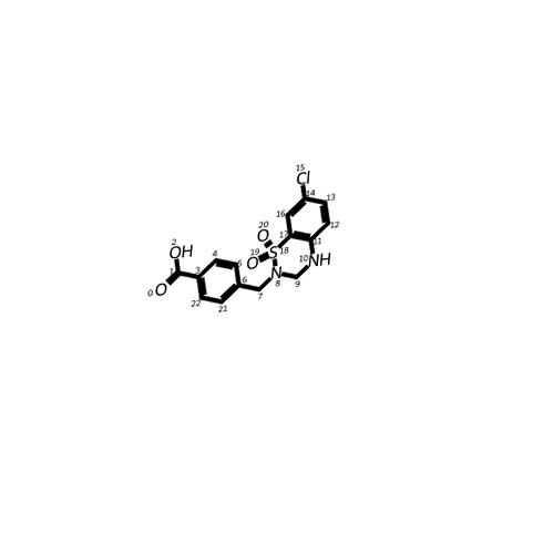 O=C(O)c1ccc(CN2CNc3ccc(Cl)cc3S2(=O)=O)cc1